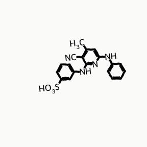 Cc1cc(Nc2ccccc2)nc(Nc2cccc(S(=O)(=O)O)c2)c1C#N